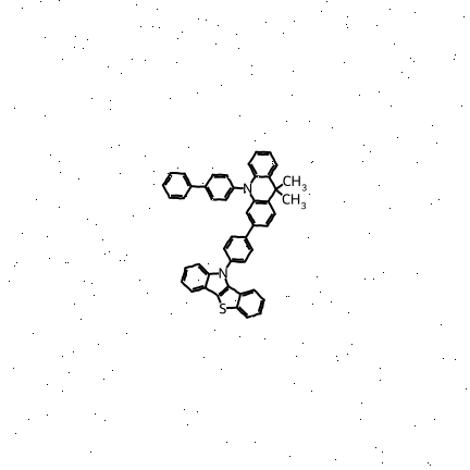 CC1(C)c2ccccc2N(c2ccc(-c3ccccc3)cc2)c2cc(-c3ccc(-n4c5ccccc5c5sc6ccccc6c54)cc3)ccc21